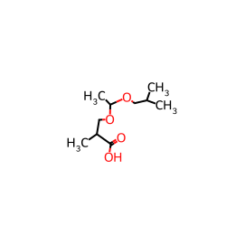 CC(C)COC(C)OCC(C)C(=O)O